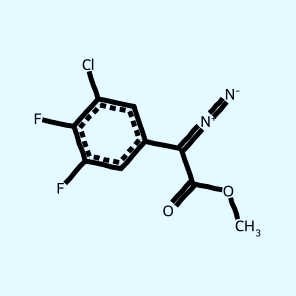 COC(=O)C(=[N+]=[N-])c1cc(F)c(F)c(Cl)c1